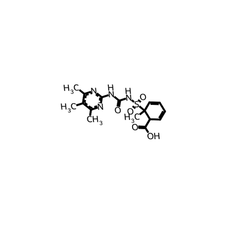 Cc1nc(NC(=O)NS(=O)(=O)C2(C)C=CC=CC2C(=O)O)nc(C)c1C